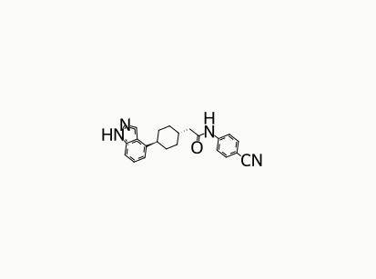 N#Cc1ccc(NC(=O)C[C@H]2CC[C@H](c3cccc4[nH]ncc43)CC2)cc1